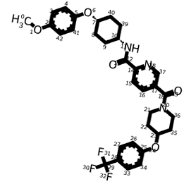 COc1ccc(O[C@H]2CC[C@@H](NC(=O)c3ccc(C(=O)N4CCC(Oc5ccc(C(F)(F)F)cc5)CC4)cn3)CC2)cc1